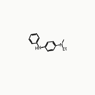 CCN(C)c1ccc(Nc2ccccc2)cc1